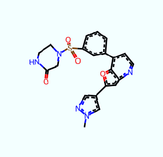 Cn1cc(-c2cc3nccc(-c4cccc(S(=O)(=O)N5CCNC(=O)C5)c4)c3o2)cn1